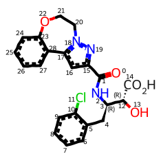 O=C(N[C@H](Cc1ccccc1Cl)[C@@H](O)C(=O)O)c1cc2n(n1)CCOc1ccccc1-2